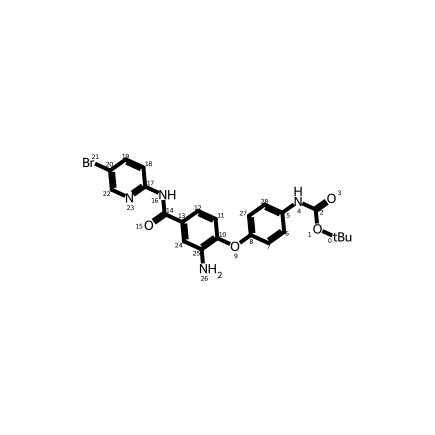 CC(C)(C)OC(=O)Nc1ccc(Oc2ccc(C(=O)Nc3ccc(Br)cn3)cc2N)cc1